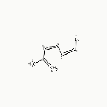 C=C(C)/N=C\C=C/CC